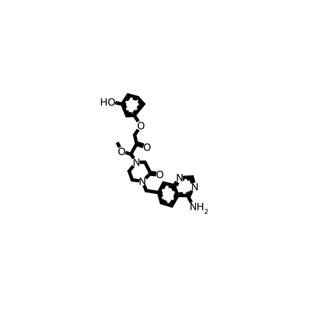 COC(C(=O)COc1cccc(O)c1)N1CCN(Cc2ccc3c(N)ncnc3c2)C(=O)C1